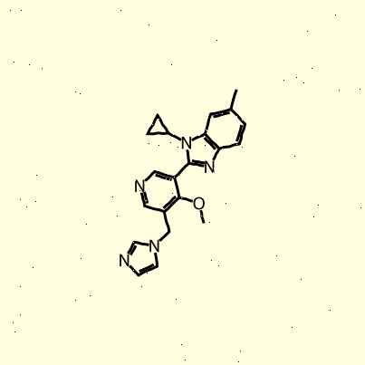 COc1c(Cn2ccnc2)cncc1-c1nc2ccc(C)cc2n1C1CC1